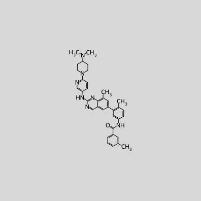 Cc1cccc(C(=O)Nc2ccc(C)c(-c3cc(C)c4nc(Nc5ccc(N6CCC(N(C)C)CC6)nc5)ncc4c3)c2)c1